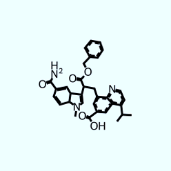 CC(C)c1ccnc2c(CC(C(=O)OCc3ccccc3)C3=CN(C)C4C=CC(C(N)=O)=CC34)cc(C(=O)O)cc12